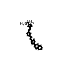 CN(C)C1=C=C(C=CC2=C=C(C=Cc3ccc(N4CCC5CC=CC=C5C4)cc3)C=C2)C=C1